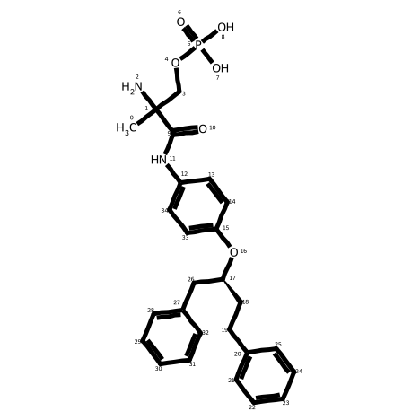 CC(N)(COP(=O)(O)O)C(=O)Nc1ccc(O[C@@H](CCc2ccccc2)Cc2ccccc2)cc1